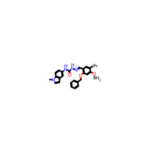 BOc1cc(OCc2ccccc2)c(/C=N/NC(=O)Nc2ccc3c(ccn3C)c2)cc1C(C)C